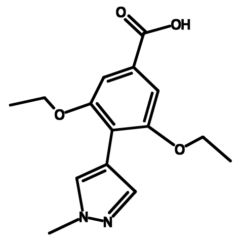 CCOc1cc(C(=O)O)cc(OCC)c1-c1cnn(C)c1